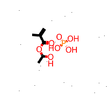 C=C(C)C(=O)OC(C)O.O=P(O)(O)O